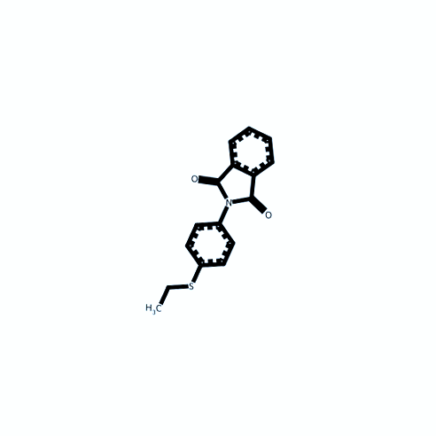 CCSc1ccc(N2C(=O)c3ccccc3C2=O)cc1